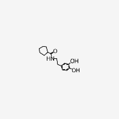 O=C(NCCc1ccc(O)c(O)c1)C1CCCCC1